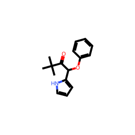 CC(C)(C)C(=O)C(Oc1ccccc1)c1ccc[nH]1